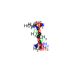 Cc1c(COc2cc(OCc3cncc(C#N)c3)c(CNC(C(=O)O)C(C)(C)O)cc2Cl)cccc1-c1cccc(COc2cc(OCc3cncc(C#N)c3)c(C(N)OC(=O)CC(C)(C)O)cc2Cl)c1C